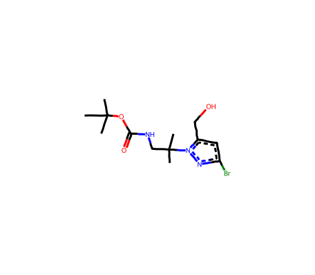 CC(C)(C)OC(=O)NCC(C)(C)n1nc(Br)cc1CO